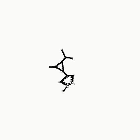 CC(C)C1C(C)C1c1cnn(C)c1